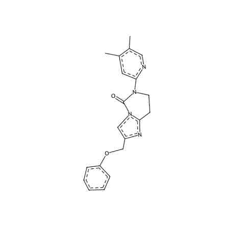 Cc1cnc(N2CCc3nc(COc4ccccc4)cn3C2=O)cc1C